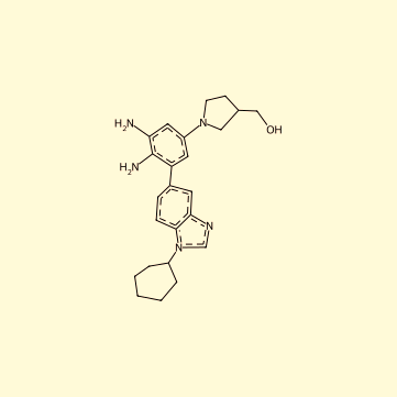 Nc1cc(N2CCC(CO)C2)cc(-c2ccc3c(c2)ncn3C2CCCCC2)c1N